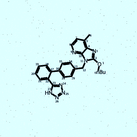 CCCCOc1nc2c(C)ccnc2n1Cc1ccc(-c2ccccc2-c2nnn[nH]2)cc1